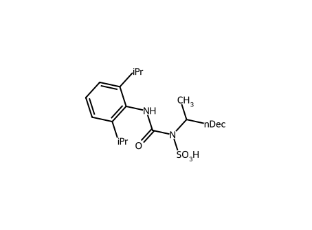 CCCCCCCCCCC(C)N(C(=O)Nc1c(C(C)C)cccc1C(C)C)S(=O)(=O)O